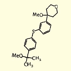 COC(C)(C)c1ccc(Sc2cccc(C3(OC)CCOCC3)c2)cc1